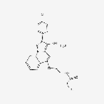 CC(C)(C)OC(=O)NCCNC1=CC2=C(O)N(c3ccc(Cl)cc3)[N]N2c2ccccc21.O